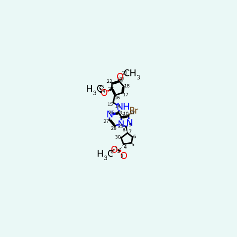 COC(=O)[C@H]1CC[C@H](c2nc(Br)c3c(NCc4ccc(OC)cc4OC)nccn23)C1